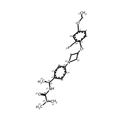 CCOc1ccc(OC2CN(c3ccc([C@H](C)NC(=O)N(C)C)cc3)C2)c(F)c1